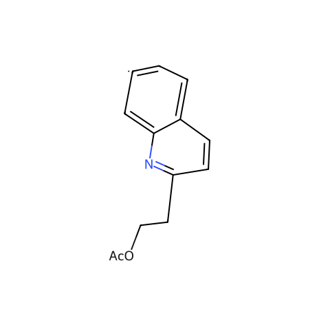 CC(=O)OCCc1ccc2cc[c]cc2n1